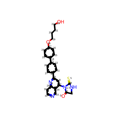 O=C1CNC(=S)N1c1cc(-c2ccc(-c3ccc(OCCCCO)cc3)cc2)nc2ccncc12